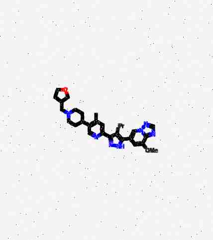 COc1cc(-c2[nH]nc(-c3cc(C)c(C4CCN(CC5CCOC5)CC4)cn3)c2C(C)C)cn2ncnc12